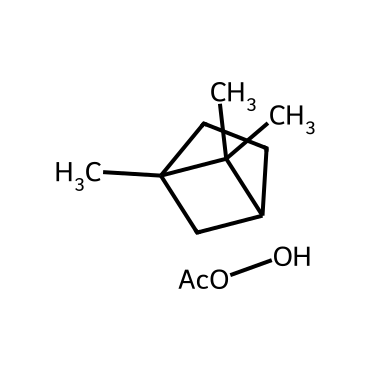 CC(=O)OO.CC12CCC(C1)C2(C)C